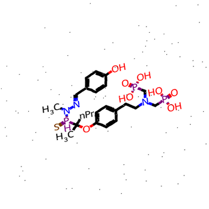 CCCC(C)(Oc1ccc(CCN(CP(=O)(O)O)CP(=O)(O)O)cc1)[PH](=S)N(C)/N=C/c1ccc(O)cc1